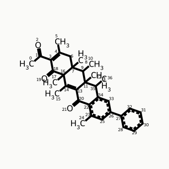 CC(=O)C1=C(C)CC2(C)C(C)C3(C)C(=C(C)C2(C)C1=O)C(=O)c1c(C)cc(-c2ccccc2)cc1C3C